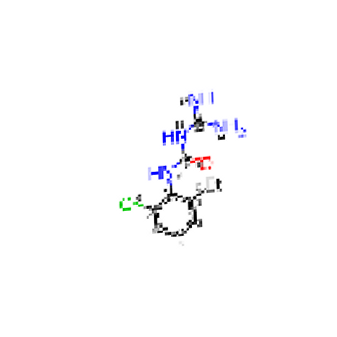 CCc1cccc(Cl)c1NC(=O)NC(=N)N